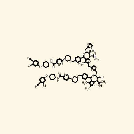 C=C1[C@H](Cc2ncco2)N=C(c2ccc(C[C@@H]3CCCN(c4ccc(C(=O)N[C@H]5CC[C@H](Oc6ccc(C#N)c(Cl)c6)CC5)nn4)C3)cc2)c2c(sc(Cc3cnc(C[C@@H]4N=C(c5ccc(C[C@H]6CCCN(c7ccc(C(=O)N[C@H]8CC[C@H](Oc9ccc(C#N)c(Cl)c9)CC8)nn7)C6)cc5)c5c(sc(C)c5C)N(C(C)=N)C4=N)o3)c2C)N1/C(C)=N\N